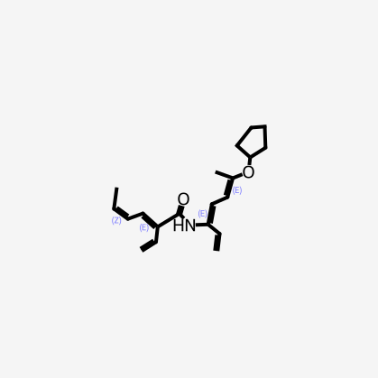 C=C/C(=C\C=C(/C)OC1CCCC1)NC(=O)/C(C=C)=C/C=C\C